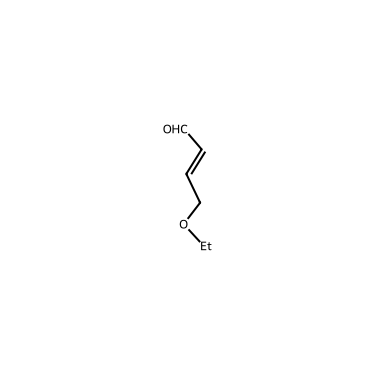 CCOC/C=C/C=O